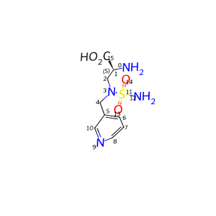 N[C@@H](CN(Cc1cccnc1)S(N)(=O)=O)C(=O)O